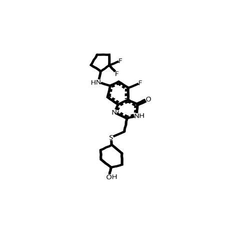 O=c1[nH]c(CSC2CCC(O)CC2)nc2cc(NC3CCCC3(F)F)cc(F)c12